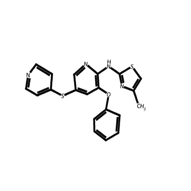 Cc1csc(Nc2ncc(Sc3ccncc3)cc2Oc2ccccc2)n1